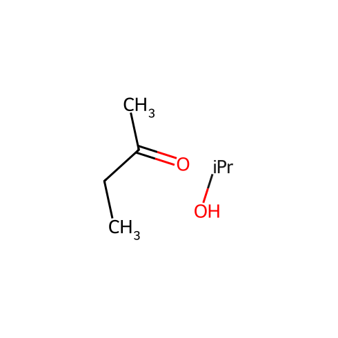 CC(C)O.CCC(C)=O